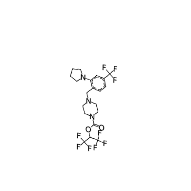 O=C(OC(C(F)(F)F)C(F)(F)F)N1CCN(Cc2ccc(C(F)(F)F)cc2N2CCCC2)CC1